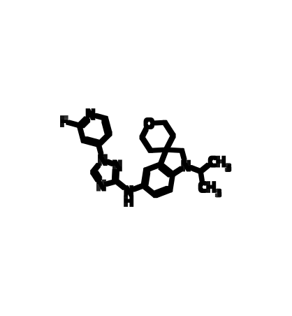 CC(C)N1CC2(CCOCC2)c2cc(Nc3ncn(-c4ccnc(F)c4)n3)ccc21